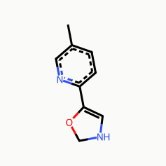 Cc1ccc(C2=CNCO2)nc1